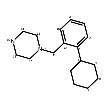 c1ccc(C2CCCCC2)c(CN2CC[N]CC2)c1